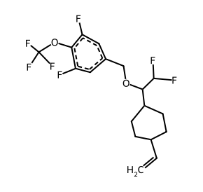 C=CC1CCC(C(OCc2cc(F)c(OC(F)(F)F)c(F)c2)C(F)F)CC1